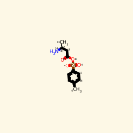 Cc1ccc(S(=O)(=O)OC(=O)C[C@@H](C)N)cc1